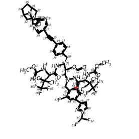 COC(=O)NC(C(=O)N[C@@H](Cc1ccc(C#Cc2cnc(N3CC4CCC(C3)N4C3COC3)nc2)cc1)[C@H](CN(Cc1c(F)cc(-c2ccn(C(F)F)n2)cc1F)NC(=O)[C@@H](NC(=O)OC)C(C)(C)C(F)(F)F)OC=O)C(C)(C)C(F)(F)F